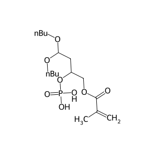 C=C(C)C(=O)OCC(CC(OCCCC)OCCCC)OP(=O)(O)O